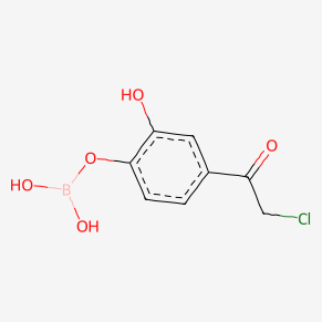 O=C(CCl)c1ccc(OB(O)O)c(O)c1